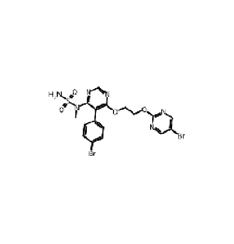 CN(c1ncnc(OCCOc2ncc(Br)cn2)c1-c1ccc(Br)cc1)S(N)(=O)=O